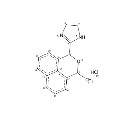 CC1OC(C2=NCCN2)c2cccc3cccc1c23.Cl